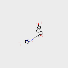 C[C@]12CCC3c4ccc(B(O)O)cc4CCC3C1[C@@H](CCCC(=O)NCc1ccc(O)c(O)c1)CO2